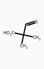 CC(C)(C=S)C(=O)O